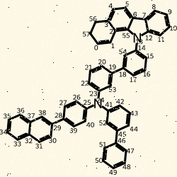 C1=Cc2c(ccc3c4ccccc4n(-c4cccc(-c5cccc(N(c6ccc(-c7ccc8ccccc8c7)cc6)c6cccc(-c7ccccc7)c6)c5)c4)c23)CC1